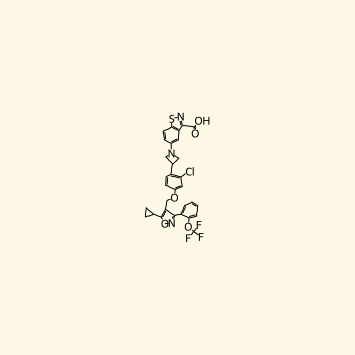 O=C(O)c1nsc2ccc(N3CC(c4ccc(OCc5c(-c6ccccc6OC(F)(F)F)noc5C5CC5)cc4Cl)C3)cc12